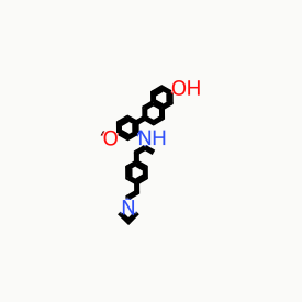 COc1ccc(C2CCc3cc(O)ccc3C2)c(NC(C)Cc2ccc(CCN3CCC3)cc2)c1